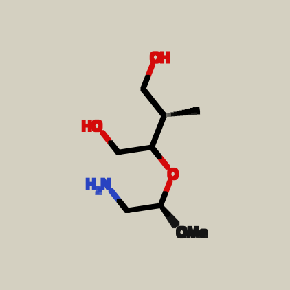 CO[C@@H](CN)OC(CO)[C@@H](C)CO